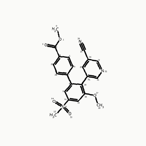 COC(=O)c1ccc(-c2cc(S(C)(=O)=O)cc(OC)c2-c2cncc(C#N)c2)cc1